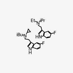 CCC(C)N(CCc1c[nH]c2ccc(F)cc12)C1CC1.CCN(CCc1c[nH]c2ccc(F)cc12)C(C)C